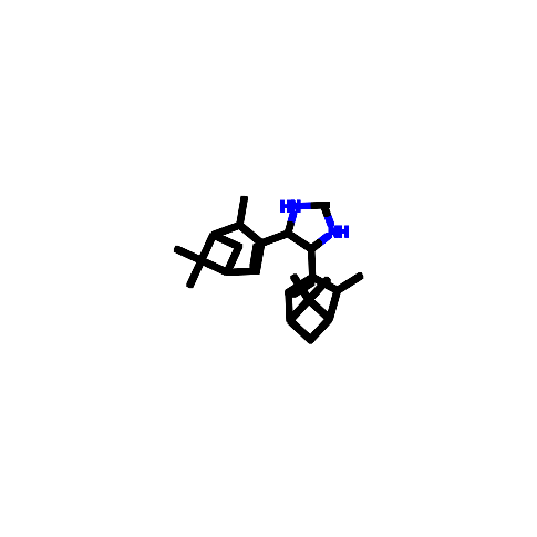 CC1C(C2N[C]NC2C2=CC3CC(C2C)C3(C)C)=CC2CC1C2(C)C